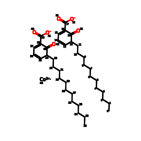 CCCCCCCCCCCCC1C=CC=C(C(=O)[O-])C1=O.CCCCCCCCCCCCC1C=CC=C(C(=O)[O-])C1=O.[Co+2]